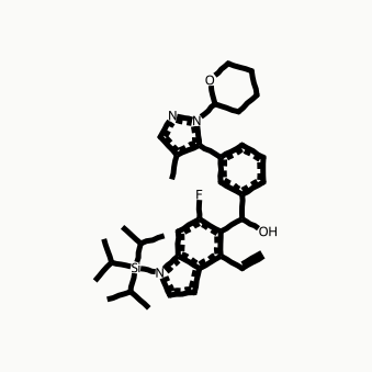 C=Cc1c(C(O)c2cccc(-c3c(C)cnn3C3CCCCO3)c2)c(F)cc2c1ccn2[Si](C(C)C)(C(C)C)C(C)C